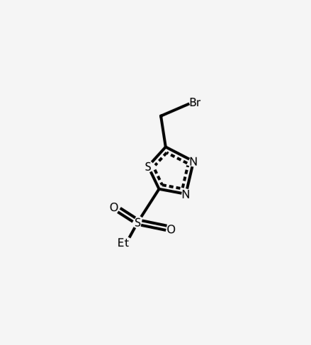 CCS(=O)(=O)c1nnc(CBr)s1